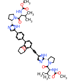 COC(=O)N[C@H](C(=O)N1CCC[C@H]1c1ncc(C#Cc2ccc(-c3ccc(-c4cnc([C@@H]5CCCN5C(=O)[C@H](NC(=O)OC)C(C)C)[nH]4)cc3)c3c2C2CCC3O2)[nH]1)C(C)C